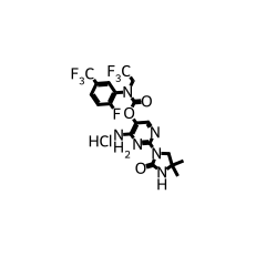 CC1(C)CN(c2ncc(OC(=O)N(CC(F)(F)F)c3cc(C(F)(F)F)ccc3F)c(N)n2)C(=O)N1.Cl